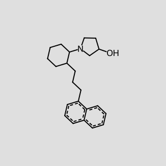 OC1CCN(C2CCCCC2CCCc2cccc3ccccc23)C1